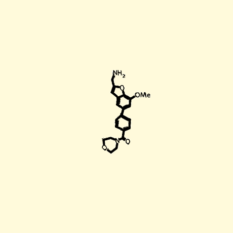 COc1cc(-c2ccc(C(=O)N3CCOCC3)cc2)cc2cc(CN)oc12